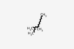 CCCCCCCCCC=C(C)CC(CC)CCCC